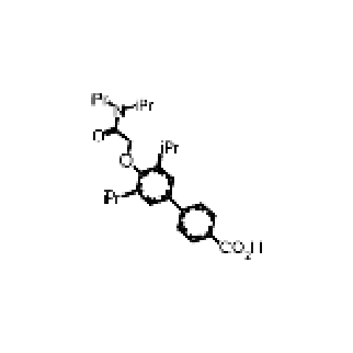 CC(C)c1cc(-c2ccc(C(=O)O)cc2)cc(C(C)C)c1OCC(=O)N(C(C)C)C(C)C